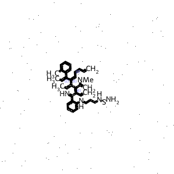 C=C\C=C/C=C(C(=CC)/C(C(=C)NC)=C(/C=C)C(=N)c1ccccc1NCCCNSN)\C(=C\C)c1ccccc1C